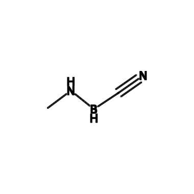 CNBC#N